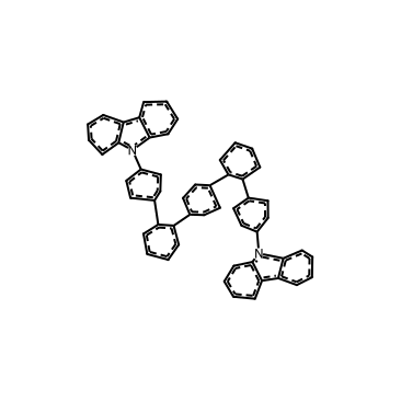 c1ccc(-c2ccc(-n3c4ccccc4c4ccccc43)cc2)c(-c2ccc(-c3ccccc3-c3ccc(-n4c5ccccc5c5ccccc54)cc3)cc2)c1